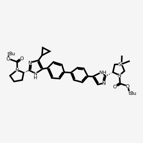 CC(C)(C)OC(=O)N1C[Si](C)(C)C[C@H]1c1ncc(-c2ccc(-c3ccc(-c4[nH]c([C@@H]5CCCN5C(=O)OC(C)(C)C)nc4C4CC4)cc3)cc2)[nH]1